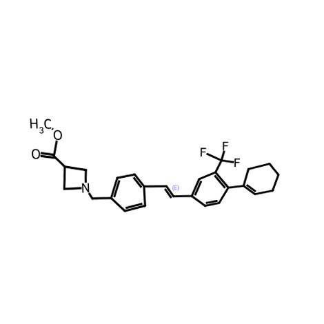 COC(=O)C1CN(Cc2ccc(/C=C/c3ccc(C4=CCCCC4)c(C(F)(F)F)c3)cc2)C1